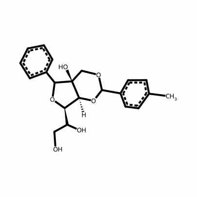 Cc1ccc(C2OC[C@@]3(O)C(c4ccccc4)O[C@H](C(O)CO)[C@@H]3O2)cc1